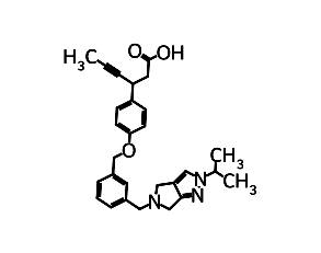 CC#CC(CC(=O)O)c1ccc(OCc2cccc(CN3Cc4cn(C(C)C)nc4C3)c2)cc1